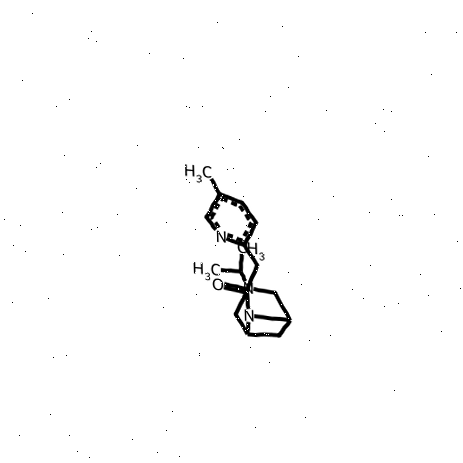 Cc1ccc(CC(=O)N2C3CC2CN(C(C)C)C3)nc1